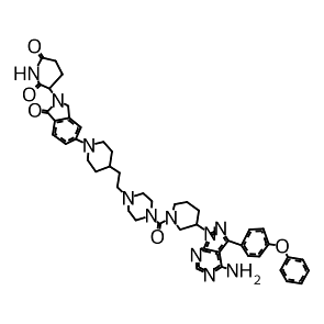 Nc1ncnc2c1c(-c1ccc(Oc3ccccc3)cc1)nn2C1CCCN(C(=O)N2CCN(CCC3CCN(c4ccc5c(c4)CN(C4CCC(=O)NC4=O)C5=O)CC3)CC2)C1